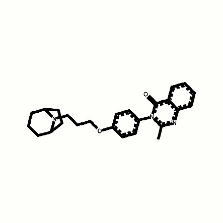 Cc1nc2ccccc2c(=O)n1-c1ccc(OCCCN2C3CCCC2CC3)cc1